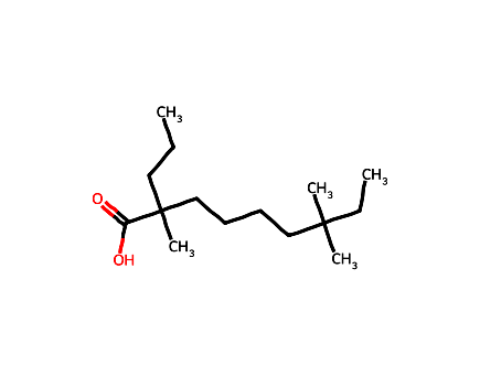 CCCC(C)(CCCCC(C)(C)CC)C(=O)O